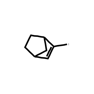 [CH]C1=CC2CCC1C2